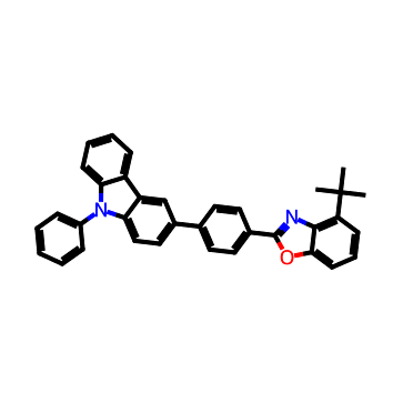 CC(C)(C)c1cccc2oc(-c3ccc(-c4ccc5c(c4)c4ccccc4n5-c4ccccc4)cc3)nc12